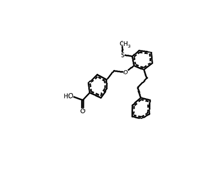 CSc1cccc(CCc2ccccc2)c1OCc1ccc(C(=O)O)cc1